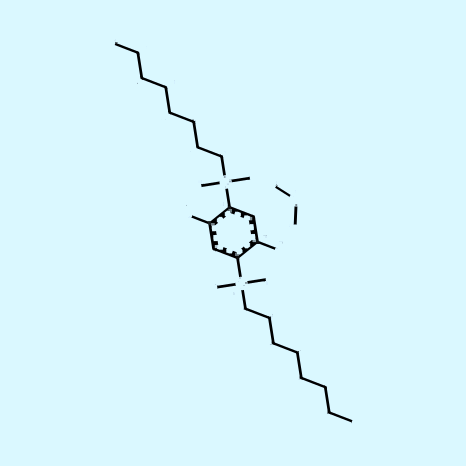 CCCCCCCC[Si](C)(C)c1cc(O)c([Si](C)(C)CCCCCCCC)cc1O.COC